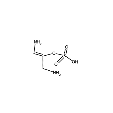 NC=C(CN)OS(=O)(=O)O